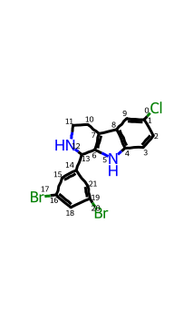 Clc1ccc2[nH]c3c(c2c1)CCNC3c1cc(Br)cc(Br)c1